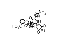 CCN1C(=O)CN(C(O)NC(C(=O)N[C@H]2Cc3cccc(C(=O)O)c3OB2O)c2csc(N)n2)CC1=O